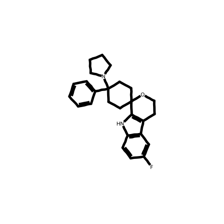 Fc1ccc2[nH]c3c(c2c1)CCOC31CCC(c2ccccc2)(N2CCCC2)CC1